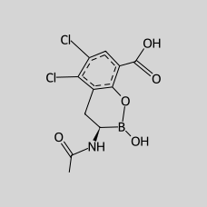 CC(=O)N[C@H]1Cc2c(Cl)c(Cl)cc(C(=O)O)c2OB1O